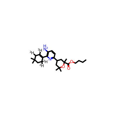 [2H]C1=C(c2nc(C3CC(C)(C)OC(C)(C(=O)OCCCC)C3)ccc2N)C([2H])([2H])CC(C)(C)C1[2H]